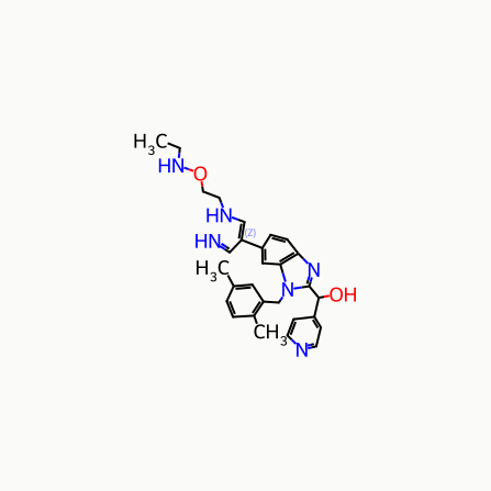 CCNOCCN/C=C(\C=N)c1ccc2nc(C(O)c3ccncc3)n(Cc3cc(C)ccc3C)c2c1